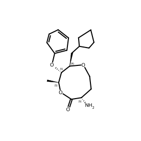 C[C@@H]1OC(=O)[C@@H](N)CCO[C@H](CC2CCCC2)[C@H]1Oc1ccccc1